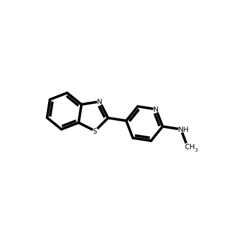 CNc1ccc(-c2nc3ccccc3s2)cn1